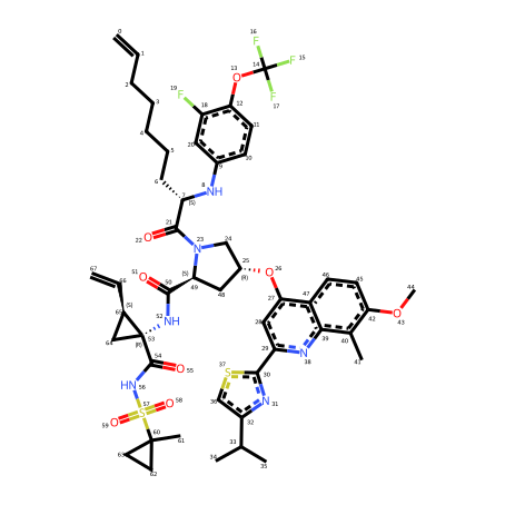 C=CCCCCC[C@H](Nc1ccc(OC(F)(F)F)c(F)c1)C(=O)N1C[C@H](Oc2cc(-c3nc(C(C)C)cs3)nc3c(C)c(OC)ccc23)C[C@H]1C(=O)N[C@]1(C(=O)NS(=O)(=O)C2(C)CC2)C[C@H]1C=C